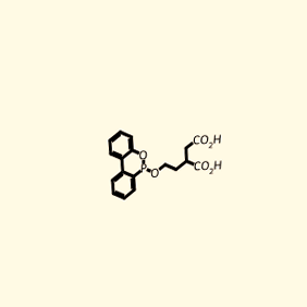 O=C(O)CC(CCOP1Oc2ccccc2-c2ccccc21)C(=O)O